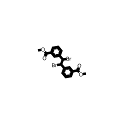 COC(=O)c1cccc(C(Br)C(Br)c2cccc(C(=O)OC)c2)c1